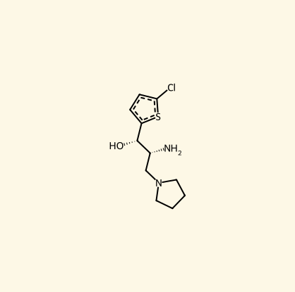 N[C@H](CN1CCCC1)[C@H](O)c1ccc(Cl)s1